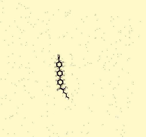 CCCC/C(F)=C(\F)c1ccc(-c2ccc(-c3ccc(C#N)cc3)cc2)cc1